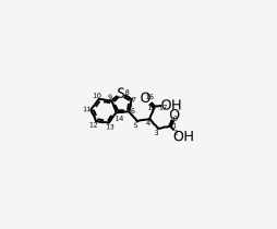 O=C(O)CC(Cc1csc2ccccc12)C(=O)O